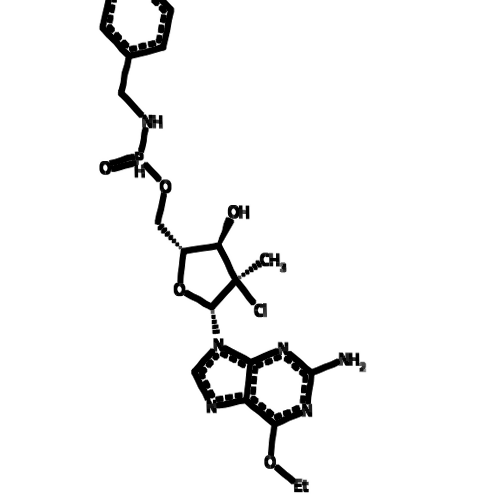 CCOc1nc(N)nc2c1ncn2[C@@H]1O[C@H](CO[PH](=O)NCc2ccccc2)[C@@H](O)[C@@]1(C)Cl